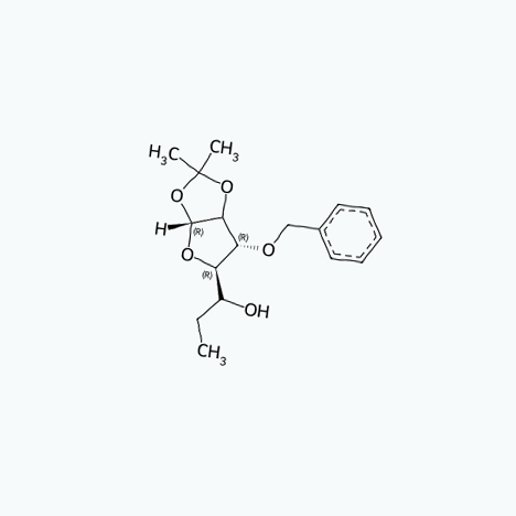 CCC(O)[C@H]1O[C@@H]2OC(C)(C)OC2[C@@H]1OCc1ccccc1